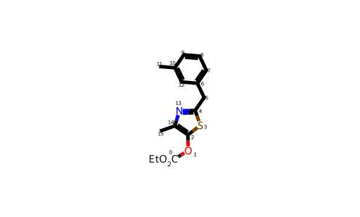 CCOC(=O)Oc1sc(Cc2cccc(C)c2)nc1C